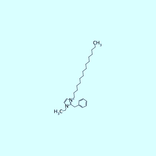 CCCCCCCCCCCCCCCC[n+]1ccn(CC)c1Cc1ccccc1